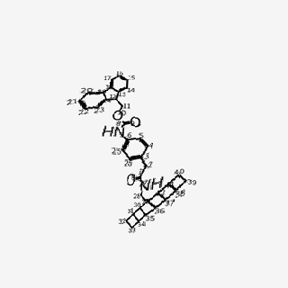 O=C(Cc1ccc(NC(=O)OCC2c3ccccc3-c3ccccc32)cc1)NCC12C3C4CCC4C3C1C1C3CCC3C12